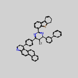 CCC1C(c2ccc(-c3ccnc4ccc5c6ccccc6ccc5c34)cc2)=NC(c2cccc3c4c(sc23)CCC=C4)=NC1c1cccc(-c2ccccc2)c1